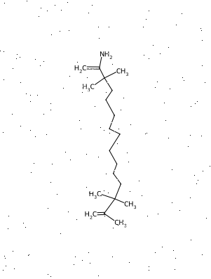 C=C(C)C(C)(C)CCCCCCCCCC(C)(C)C(=C)N